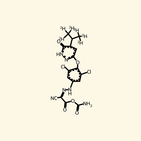 [2H]C([2H])([2H])C(c1cc(Oc2c(Cl)cc(NN=C(C#N)C(=O)OC(N)=O)cc2Cl)n[nH]c1=O)C([2H])([2H])[2H]